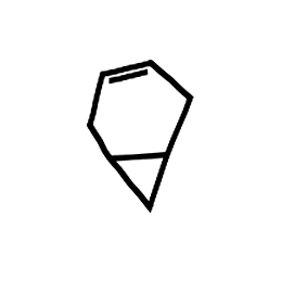 C1=CCC2CC2C1